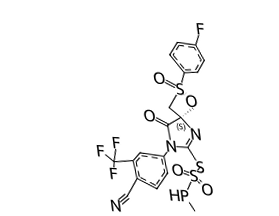 CPS(=O)(=O)SC1=N[C@](C)(CS(=O)(=O)c2ccc(F)cc2)C(=O)N1c1ccc(C#N)c(C(F)(F)F)c1